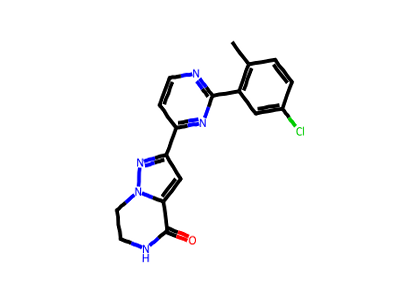 Cc1ccc(Cl)cc1-c1nccc(-c2cc3n(n2)CCNC3=O)n1